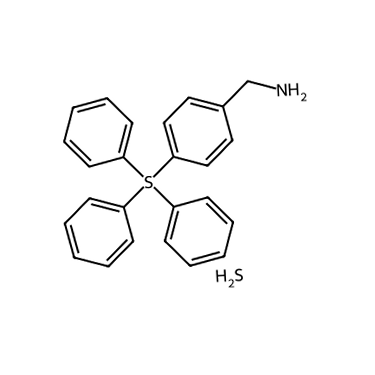 NCc1ccc(S(c2ccccc2)(c2ccccc2)c2ccccc2)cc1.S